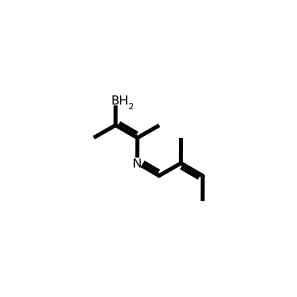 B/C(C)=C(C)/N=C\C(C)=C/C